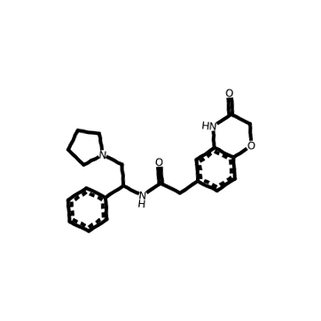 O=C1COc2ccc(CC(=O)NC(CN3CCCC3)c3ccccc3)cc2N1